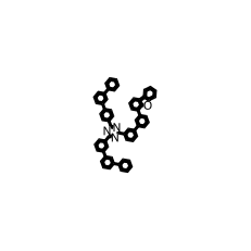 c1ccc(-c2cccc(-c3ccc(-c4nc(-c5cccc(-c6cccc(-c7ccccc7)c6)c5)nc(-c5cccc(-c6cccc(-c7cccc8c7oc7ccccc78)c6)c5)n4)cc3)c2)cc1